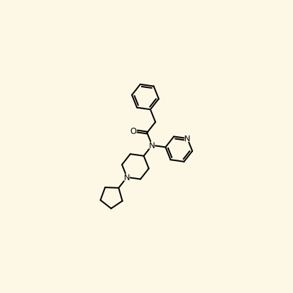 O=C(Cc1ccccc1)N(c1cccnc1)C1CCN(C2CCCC2)CC1